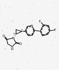 O=C1CNC(=O)N1[C@@H]1C[C@H]1c1ccc(-c2ccc(F)cc2F)nc1